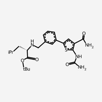 CC(C)C[C@H](NCc1cccc(-c2cc(C(N)=O)c(NC(N)=O)s2)c1)C(=O)OC(C)(C)C